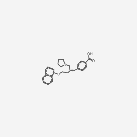 O=C(O)c1ccc(C=C(CCOc2cccc3ccccc23)CN2CCCC2)cc1